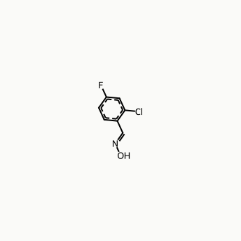 O/N=C/c1ccc(F)cc1Cl